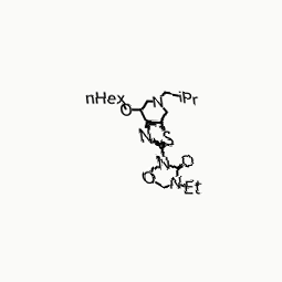 CCCCCCOC1CN(CC(C)C)Cc2sc(N3COCN(CC)C3=O)nc21